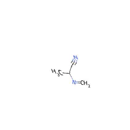 C=NC(C)C#N